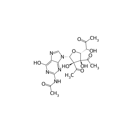 CC(=O)Nc1nc(O)c2ncn([C@@H]3O[C@H](C(O)C(C)=O)[C@](O)(C(C)=O)[C@]3(O)C(C)=O)c2n1